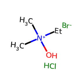 CC[N+](C)(C)O.Cl.[Br-]